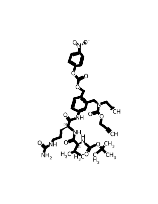 C#CCOC(=O)N(CC#C)Cc1cc(NC(=O)[C@H](CCCNC(N)=O)NC(=O)[C@@H](NC(=O)OC(C)(C)C)C(C)C)ccc1COC(=O)Oc1ccc([N+](=O)[O-])cc1